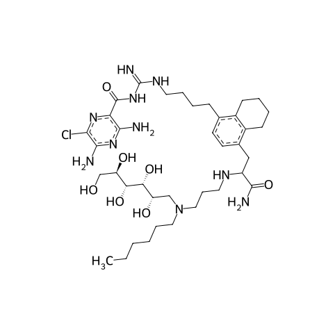 CCCCCCN(CCCNC(Cc1ccc(CCCCNC(=N)NC(=O)c2nc(Cl)c(N)nc2N)c2c1CCCC2)C(N)=O)C[C@H](O)[C@@H](O)[C@H](O)[C@H](O)CO